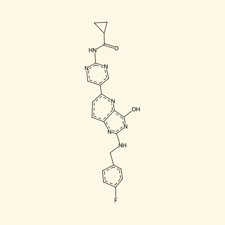 O=C(Nc1ncc(-c2ccc3nc(NCc4ccc(F)cc4)nc(O)c3n2)cn1)C1CC1